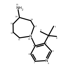 CC(C)(C)c1cnccc1N1CCCC(N)CC1